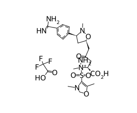 CC1=C(S(=O)(=O)[N+](C)(N)[C@@H](CC(=O)C[C@H]2C[C@@H](c3ccc(C(=N)N)cc3)N(C)O2)C(=O)O)N(C)CO1.O=C(O)C(F)(F)F